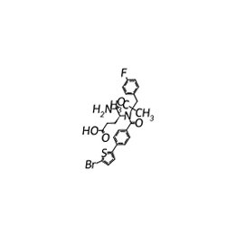 CC(C)(Cc1ccc(F)cc1)N(C(=O)c1ccc(-c2ccc(Br)s2)cc1)[C@@H](CCC(=O)O)C(N)=O